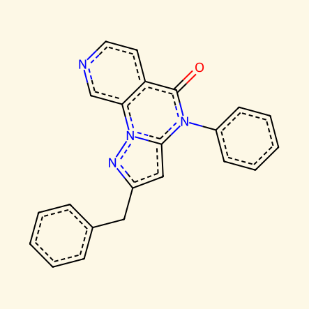 O=c1c2ccncc2n2nc(Cc3ccccc3)cc2n1-c1ccccc1